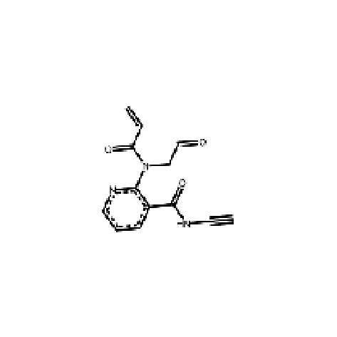 C#CNC(=O)c1cccnc1N(C[C]=O)C(=O)C=C